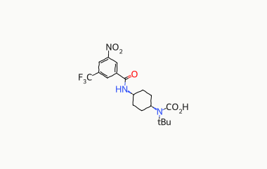 CC(C)(C)N(C(=O)O)[C@H]1CC[C@@H](NC(=O)c2cc([N+](=O)[O-])cc(C(F)(F)F)c2)CC1